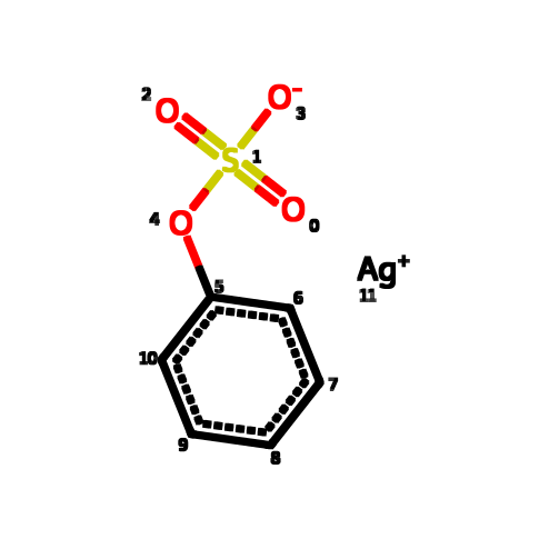 O=S(=O)([O-])Oc1ccccc1.[Ag+]